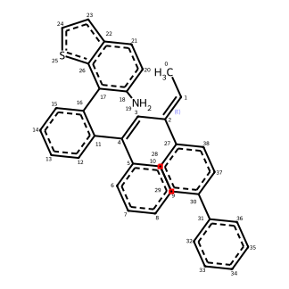 C/C=C(\C=C(c1ccccc1)c1ccccc1-c1c(N)ccc2ccsc12)c1ccc(-c2ccccc2)cc1